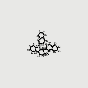 c1ccc2cc(-n3c4ccccc4c4ccc5sc6c7ccccc7ccc6c5c43)ccc2c1